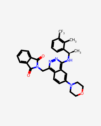 Cc1c([C@@H](C)Nc2nnc(CN3C(=O)c4ccccc4C3=O)c3ccc(N4CCOCC4)cc23)cccc1C(F)(F)F